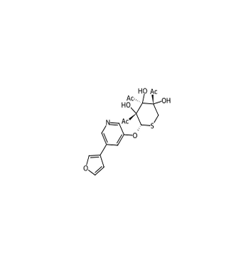 CC(=O)[C@]1(O)[C@@](O)(C(C)=O)CS[C@H](Oc2cncc(-c3ccoc3)c2)[C@@]1(O)C(C)=O